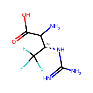 N=C(N)N[C@@H](C(N)C(=O)O)C(F)(F)F